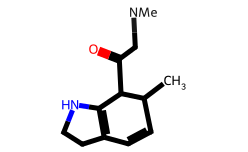 CNCC(=O)C1C2=C(C=CC1C)CCN2